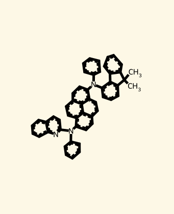 CC1(C)c2ccccc2-c2c(N(c3ccccc3)c3ccc4ccc5c(N(c6ccccc6)c6ccc7ccccc7n6)ccc6ccc3c4c65)cccc21